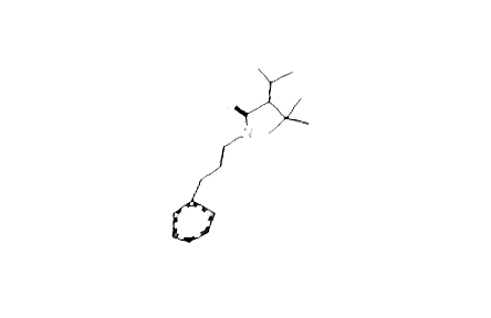 CC(C)C(C(=O)NCCCc1ccccc1)C(C)(C)C